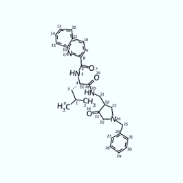 CC(C)C[C@H](NC(=O)c1ccc2ccccc2n1)C(=O)NCC1CN(Cc2ccccc2)CC1=O